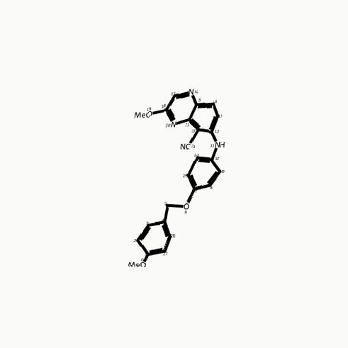 COc1ccc(COc2ccc(Nc3ccc4ncc(OC)nc4c3C#N)cc2)cc1